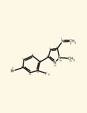 C=Nc1cc(-c2ccc(Br)cc2F)nn1C